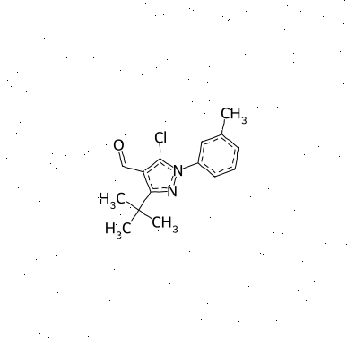 Cc1cccc(-n2nc(C(C)(C)C)c(C=O)c2Cl)c1